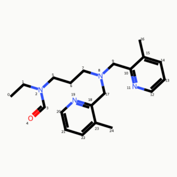 CCN(C=O)CCCN(Cc1ncccc1C)Cc1ncccc1C